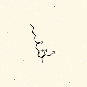 CCCCOC(=O)Cc1nc(C)c(CO)[nH]1